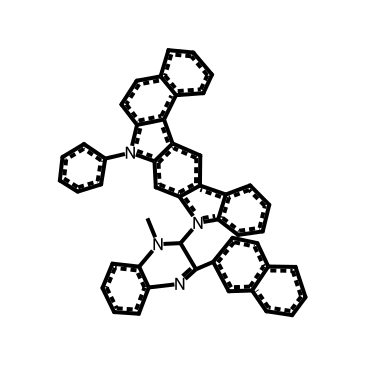 CN1c2ccccc2N=C(c2ccc3ccccc3c2)C1n1c2ccccc2c2cc3c4c5ccccc5ccc4n(-c4ccccc4)c3cc21